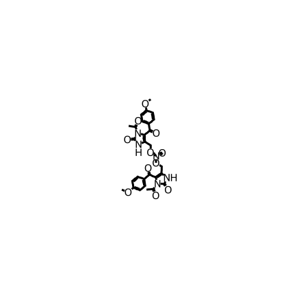 COc1ccc(C(=O)c2c(CO[N+](=O)OCc3[nH]c(=O)n(C(C)=O)c3C(=O)c3ccc(OC)cc3)[nH]c(=O)n2C(C)=O)cc1